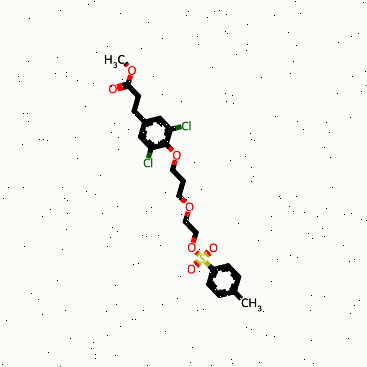 COC(=O)CCc1cc(Cl)c(OCCCOCCOS(=O)(=O)c2ccc(C)cc2)c(Cl)c1